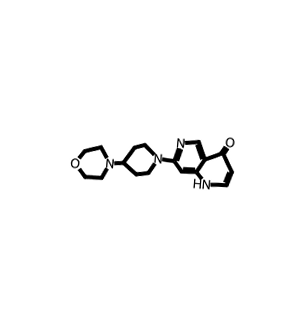 O=c1cc[nH]c2cc(N3CCC(N4CCOCC4)CC3)ncc12